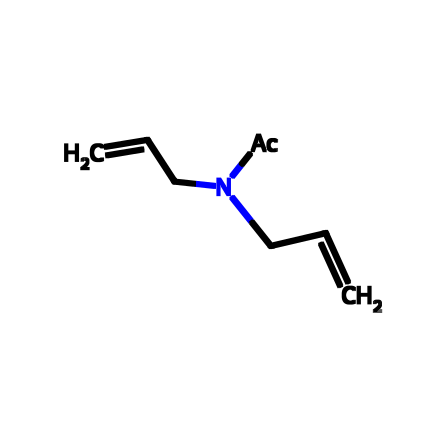 C=CC[N]([Ac])CC=C